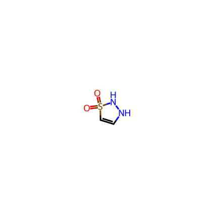 O=S1(=O)C=CNN1